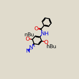 CCCCOC1=CC(=[N+]=[N-])C(OCCCC)C=C1NC(=O)c1ccccc1